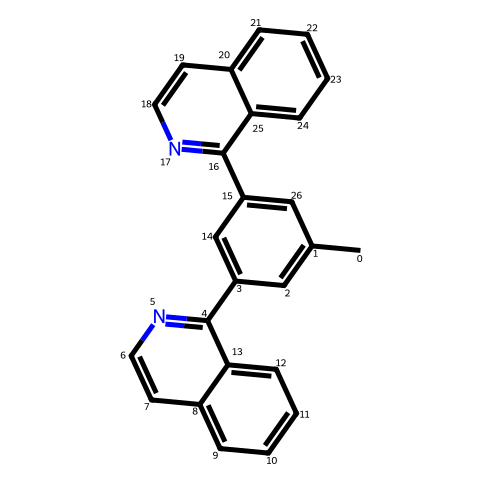 Cc1cc(-c2nccc3ccccc23)cc(-c2nccc3ccccc23)c1